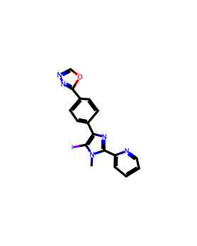 Cn1c(-c2ccccn2)nc(-c2ccc(-c3nnco3)cc2)c1I